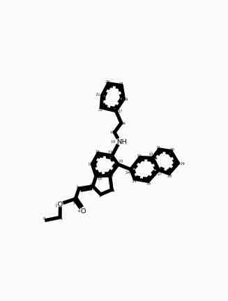 CCOC(=O)/C=C1\CCc2c1ccc(NCCc1ccccc1)c2-c1ccc2ccccc2c1